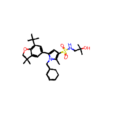 Cc1c(S(=O)(=O)NCC(C)(C)O)cc(-c2cc(C(C)(C)C)c3c(c2)C(C)(C)CO3)n1CC1CCCCC1